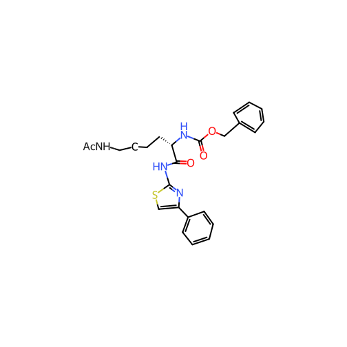 CC(=O)NCCCC[C@H](NC(=O)OCc1ccccc1)C(=O)Nc1nc(-c2ccccc2)cs1